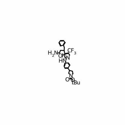 CC(C)(C)OC(=O)N1CCC(c2ccc(Nc3ncc(C(F)(F)F)c(C(CC(N)=O)Cc4ccccc4)n3)cc2)C1